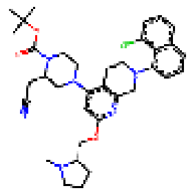 CN1CCC[C@H]1COc1cc(N2CCN(C(=O)OC(C)(C)C)C(CC#N)C2)c2c(n1)CN(c1cccc3cccc(Cl)c13)CC2